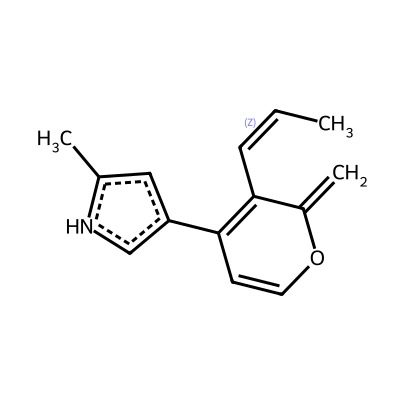 C=C1OC=CC(c2c[nH]c(C)c2)=C1/C=C\C